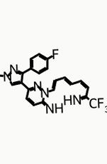 Cn1cc(-c2ccc(=N)n(/C=C/C=C/C=C\C(=N)C(F)(F)F)n2)c(-c2ccc(F)cc2)n1